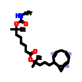 CCCNC(=O)OC(C)(CC)CCCCCC(=O)OC(C)(CC)CCCC1/C=C\C/C=C\C=C2\CC21